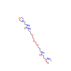 NC(C=O)CCC(=O)NCCCOCCOCCOCCCNC(=S)NCCN1CCOCC1